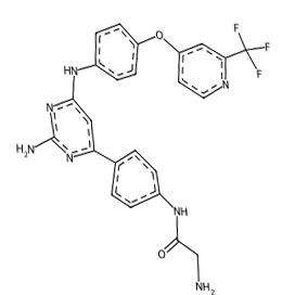 NCC(=O)Nc1ccc(-c2cc(Nc3ccc(Oc4ccnc(C(F)(F)F)c4)cc3)nc(N)n2)cc1